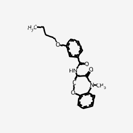 CCCCOc1cccc(C(=O)NC2COc3ccccc3N(C)C2=O)c1